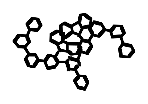 c1ccc(-c2cccc(-c3cccc(-c4ccc(-c5nc(-c6ccccc6)nc(-c6ccc(-c7cccc(-c8cccc(-c9ccccc9)c8)c7)c(-n7c8ccccc8c8ccccc87)c6)n5)c(-n5c6ccccc6c6ccccc65)c4)c3)c2)cc1